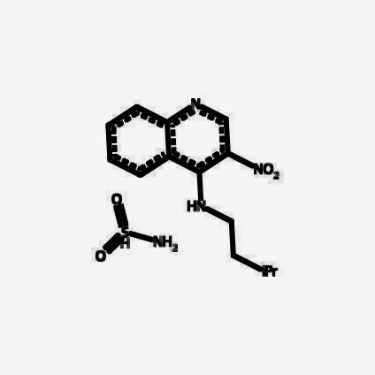 CC(C)CCNc1c([N+](=O)[O-])cnc2ccccc12.N[SH](=O)=O